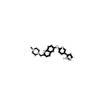 CN1CCN(Cc2ccc3cc(Oc4ccc(-c5ccn[nH]5)cn4)ccc3n2)CC1